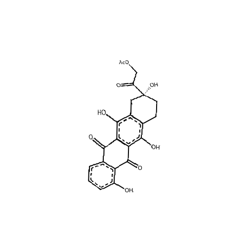 CC(=O)OCC(=O)[C@@]1(O)CCc2c(O)c3c(c(O)c2C1)C(=O)c1cccc(O)c1C3=O